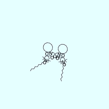 CCCCCCCCON1C(C)(C)CC2(CC1(C)C)OC1(CCCCCCCCCCC1)N(CC(O)CN1C(=O)C3(CC(C)(C)N(OCCCCCCCC)C(C)(C)C3)OC13CCCCCCCCCCC3)C2=O